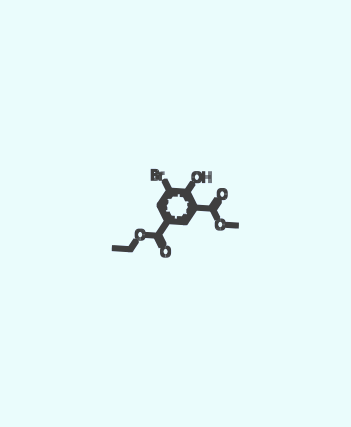 CCOC(=O)c1cc(Br)c(O)c(C(=O)OC)c1